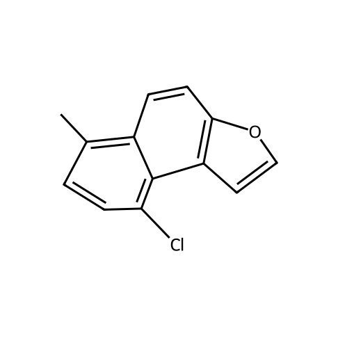 Cc1ccc(Cl)c2c1ccc1occc12